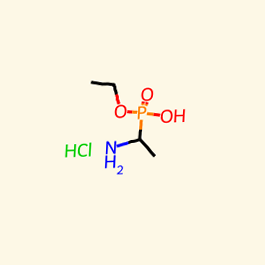 CCOP(=O)(O)C(C)N.Cl